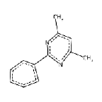 Cc1cc(C)nc(-c2c[c]ccc2)n1